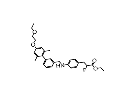 CCOCCOc1cc(C)c(-c2cccc(CNc3ccc(CC(F)C(=O)OCC)cc3)c2)c(C)c1